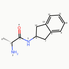 C[C@@H](N)C(=O)NC1Cc2ccccc2C1